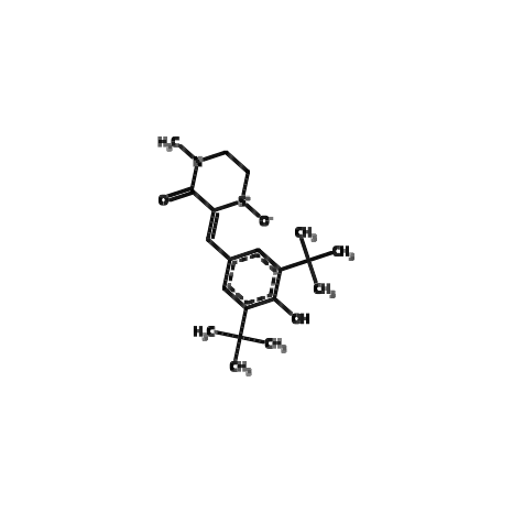 CN1CC[S+]([O-])C(=Cc2cc(C(C)(C)C)c(O)c(C(C)(C)C)c2)C1=O